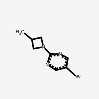 CC1CN(c2ncc(C(C)C)cn2)C1